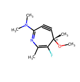 CO[C@@]1(C)C#CC(N(C)C)=NC(C)=C1F